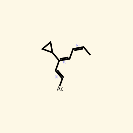 C\C=C/C=C(/C=C/C(C)=O)C1CC1